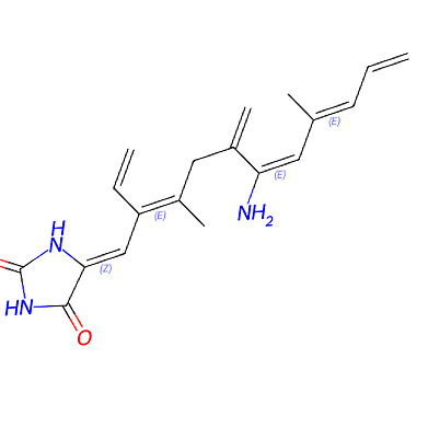 C=C/C=C(C)/C=C(/N)C(=C)C/C(C)=C(C=C)/C=C1\NC(=O)NC1=O